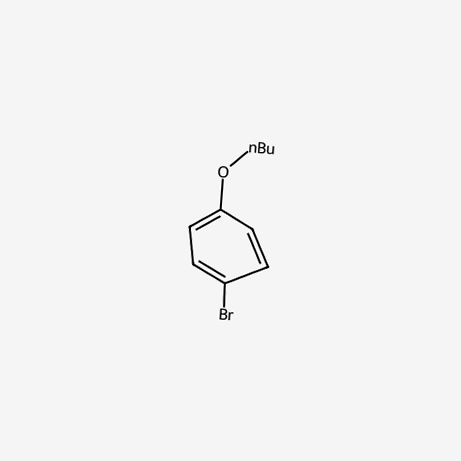 [CH2]CCCOc1ccc(Br)cc1